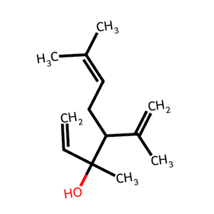 C=CC(C)(O)C(CC=C(C)C)C(=C)C